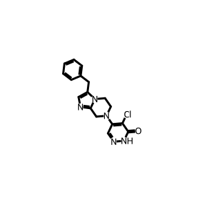 O=c1[nH]ncc(N2CCn3c(Cc4ccccc4)cnc3C2)c1Cl